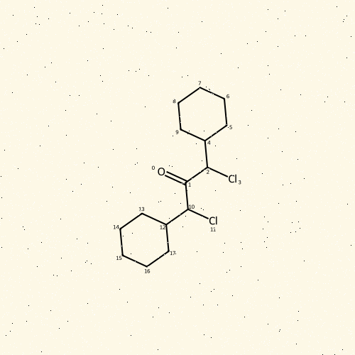 O=C(C(Cl)C1CCCCC1)C(Cl)C1CCCCC1